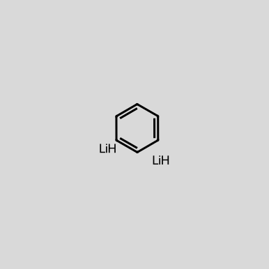 [LiH].[LiH].c1ccccc1